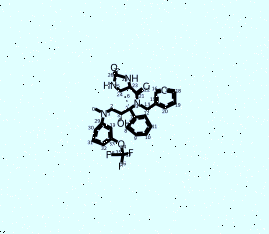 CN(C[C@@H](O)[C@](C)(c1ccccc1)N(Cc1ccccc1)C(=O)C1CNC(=O)N1)c1cccc(OC(F)(F)F)c1